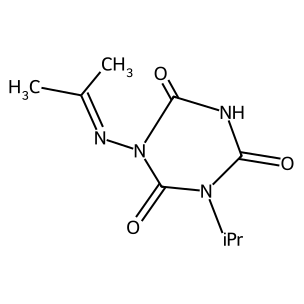 CC(C)=Nn1c(=O)[nH]c(=O)n(C(C)C)c1=O